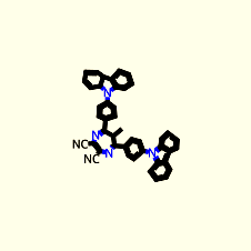 CC1C(c2ccc(N3c4ccccc4C4C=CC=CC43)cc2)=NC(C#N)=C(C#N)N=C1c1ccc(-n2c3ccccc3c3ccccc32)cc1